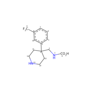 O=C(O)NCC1(c2cccc(C(F)(F)F)c2)CCNCC1